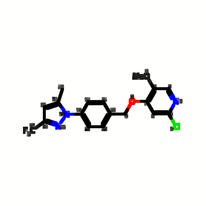 COc1cnc(Cl)cc1OCc1ccc(-n2nc(C(F)(F)F)cc2C)cc1